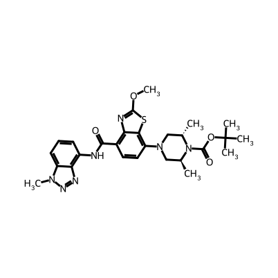 COc1nc2c(C(=O)Nc3cccc4c3nnn4C)ccc(N3C[C@H](C)N(C(=O)OC(C)(C)C)[C@@H](C)C3)c2s1